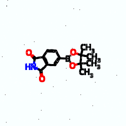 CC1(C)OB(c2ccc3c(c2)C(=O)NC3=O)OC1(C)C